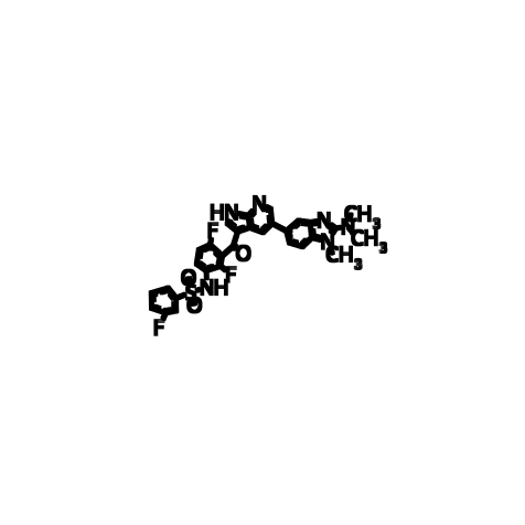 CN(C)c1nc2cc(-c3cnc4[nH]cc(C(=O)c5c(F)ccc(NS(=O)(=O)c6cccc(F)c6)c5F)c4c3)ccc2n1C